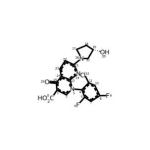 O=C(O)c1cn(-c2c(F)cc(F)cc2Cl)c2nc(N3CC[C@H](O)C3)ccc2c1=O